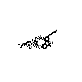 C=C(C)C1CCC2=CC1c1c(O)cc(CCCCC)cc1OC(=O)OC1[C@@H](CO2)O[C@@H](n2ccc(N)nc2=O)C1(F)F